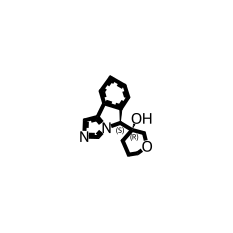 O[C@@]1([C@@H]2c3ccccc3-c3cncn32)CCCOC1